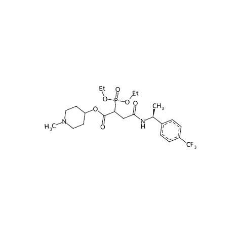 CCOP(=O)(OCC)C(CC(=O)N[C@@H](C)c1ccc(C(F)(F)F)cc1)C(=O)OC1CCN(C)CC1